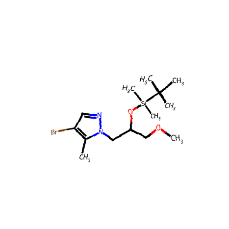 COCC(Cn1ncc(Br)c1C)O[Si](C)(C)C(C)(C)C